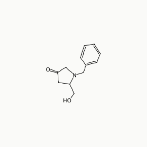 O=C1CC(CO)N(Cc2ccccc2)C1